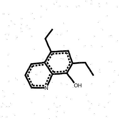 CCc1cc(CC)c2cccnc2c1O